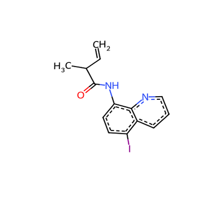 C=CC(C)C(=O)Nc1ccc(I)c2cccnc12